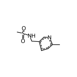 Cc1ccc(CNS(C)(=O)=O)cn1